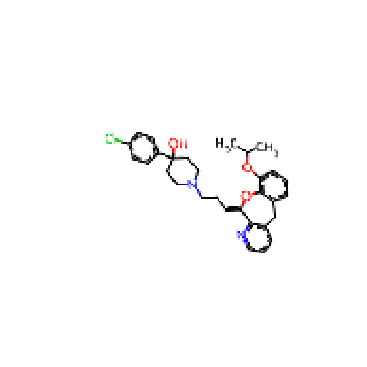 CC(C)Oc1cccc2c1OC(=CCCN1CCC(O)(c3ccc(Cl)cc3)CC1)c1ncccc1C2